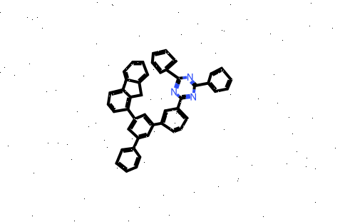 c1ccc(-c2cc(-c3cccc(-c4nc(-c5ccccc5)nc(-c5ccccc5)n4)c3)cc(-c3cccc4c3Cc3ccccc3-4)c2)cc1